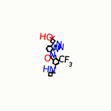 Cn1cnnc1[C@]1(c2cccc(N3Cc4c(cc(CNC5(C)CCC5)cc4C(F)(F)F)C3=O)c2)C[C@](C)(O)C1